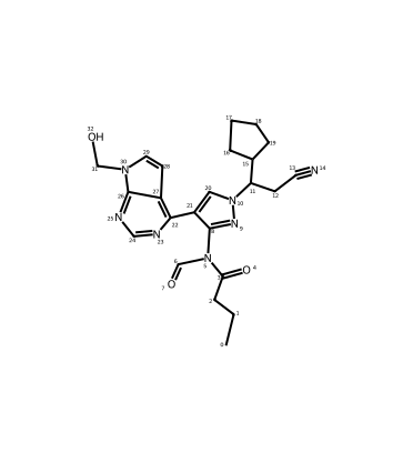 CCCC(=O)N(C=O)c1nn(C(CC#N)C2CCCC2)cc1-c1ncnc2c1ccn2CO